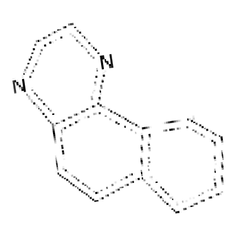 [c]1cccc2ccc3nccnc3c12